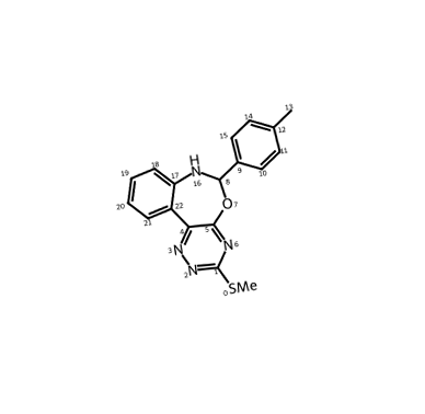 CSc1nnc2c(n1)OC(c1ccc(C)cc1)Nc1ccccc1-2